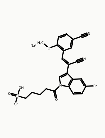 COc1ccc(C#N)cc1C=C(C#N)c1cn(C(=O)CCCCP(=O)([O-])O)c2ccc(Br)cc12.[Na+]